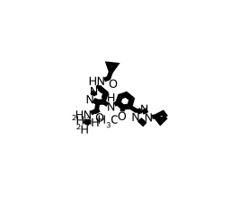 [2H]C([2H])([2H])NC(=O)c1nnc(NC(=O)C2CC2)cc1Nc1cccc(-c2ncn(C34CC(C3)C4)n2)c1OC